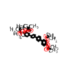 C=C(C)C(=O)Oc1ccc(-c2ccc(-c3ccc(C4=CC(OC(=O)C(=C)C)C(C)(OC(=O)C(=C)C)C=C4)cc3)cc2)cc1OC(=O)C(=C)C